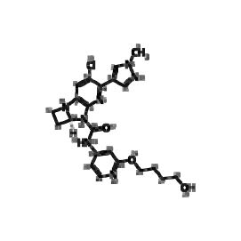 Cn1cc(-c2nc3c(cc2Cl)N2CC[C@@H]2N3C(=O)Nc2ccnc(OCCCCO)c2)cn1